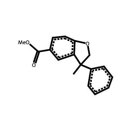 COC(=O)c1ccc2c(c1)C(C)(c1ccccc1)CO2